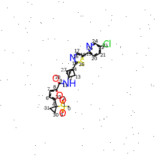 CS(=O)(=O)C1(c2ccc(C(=O)NC34CC(c5ncc(-c6ccc(Cl)cn6)s5)(C3)C4)o2)CC1